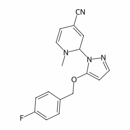 CN1C=CC(C#N)=CC1n1nccc1OCc1ccc(F)cc1